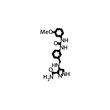 COc1cccc(NC(=O)Nc2cccc(CNc3c[nH]nc3C(N)=O)c2)c1